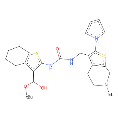 CCN1CCc2c(sc(-n3cccc3)c2CNC(=O)Nc2sc3c(c2C(O)OC(C)(C)C)CCCC3)C1